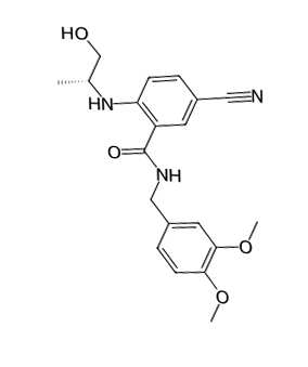 COc1ccc(CNC(=O)c2cc(C#N)ccc2N[C@H](C)CO)cc1OC